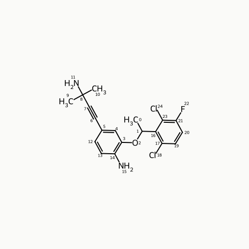 CC(Oc1cc(C#CC(C)(C)N)ccc1N)c1c(Cl)ccc(F)c1Cl